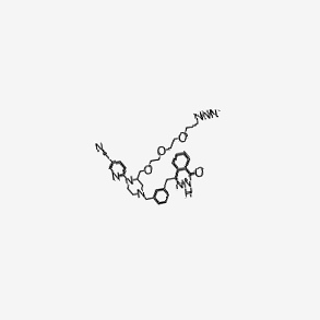 N#Cc1ccc(N2CCN(Cc3cccc(Cc4n[nH]c(=O)c5ccccc45)c3)CC2COCCOCCOCCN=[N+]=[N-])nc1